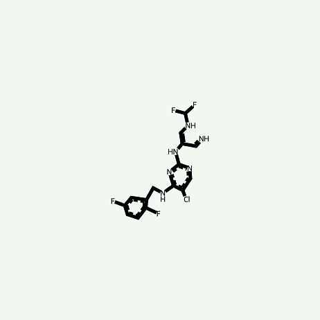 N=C/C(=C\NC(F)F)Nc1ncc(Cl)c(NCc2cc(F)ccc2F)n1